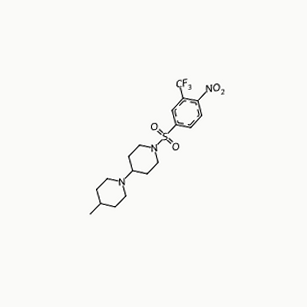 CC1CCN(C2CCN(S(=O)(=O)c3ccc([N+](=O)[O-])c(C(F)(F)F)c3)CC2)CC1